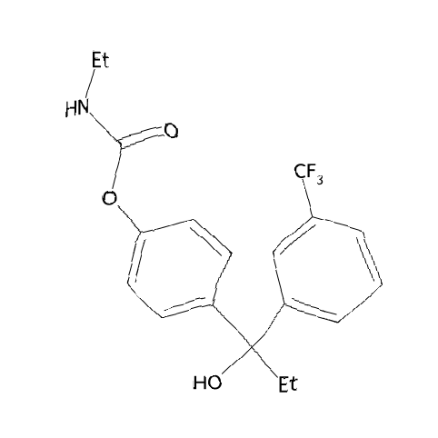 CCNC(=O)Oc1ccc(C(O)(CC)c2cccc(C(F)(F)F)c2)cc1